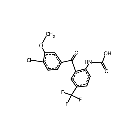 COc1cc(C(=O)c2cc(C(F)(F)F)ccc2NC(=O)O)ccc1Cl